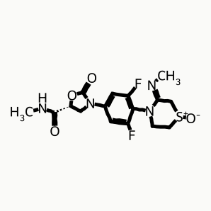 CN=C1C[S+]([O-])CCN1c1c(F)cc(N2C[C@H](C(=O)NC)OC2=O)cc1F